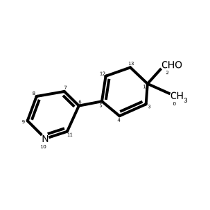 CC1(C=O)C=CC(c2cccnc2)=CC1